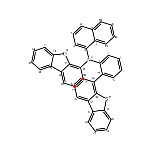 c1ccc(N(c2cccc3ccccc23)c2cccc3c2oc2ccccc23)c(-c2cccc3c2sc2ccccc23)c1